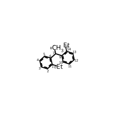 CCc1ccccc1C(C)c1ccccc1CC